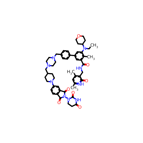 CCN(c1cc(-c2ccc(CN3CCN(CC4CCN(c5ccc6c(c5)C(=O)N(N5CCC(=O)NC5=O)C6=O)CC4)CC3)cc2)cc(C(=O)NCc2c(C)cc(C)[nH]c2=O)c1C)C1CCOCC1